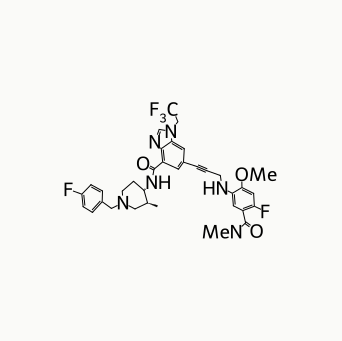 CNC(=O)c1cc(NCC#Cc2cc(C(=O)N[C@H]3CCN(Cc4ccc(F)cc4)C[C@@H]3C)c3ncn(CC(F)(F)F)c3c2)c(OC)cc1F